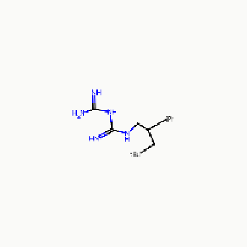 CC(C)C(CNC(=N)NC(=N)N)CC(C)(C)C